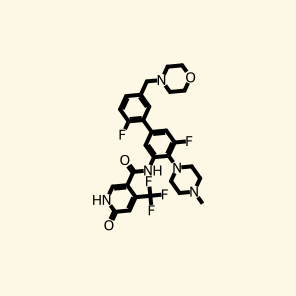 CN1CCN(c2c(F)cc(-c3cc(CN4CCOCC4)ccc3F)cc2NC(=O)c2c[nH]c(=O)cc2C(F)(F)F)CC1